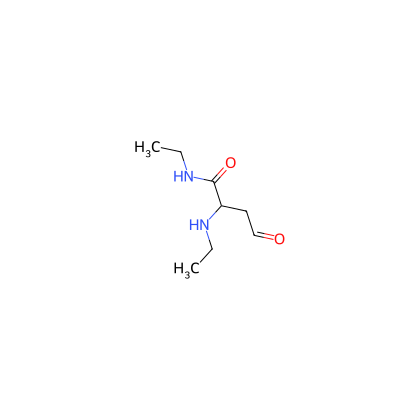 CCNC(=O)C(CC=O)NCC